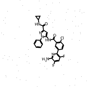 Nc1nc(-c2ccc(Cl)c(C(=O)Nc3cc(C(=O)NC4CC4)nn3-c3ccccc3)c2)c(F)cc1F